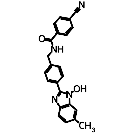 Cc1ccc2nc(-c3ccc(CNC(=O)c4ccc(C#N)cc4)cc3)n(O)c2c1